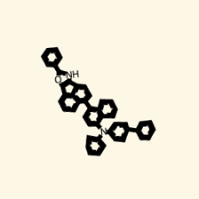 c1ccc(-c2ccc(N(c3ccccc3)c3ccc(-c4ccc5c6c(cccc46)C4=C5NC(c5ccccc5)O4)c4ccccc34)cc2)cc1